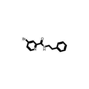 O=C(NCCc1ccccc1)c1cc(Br)ccn1